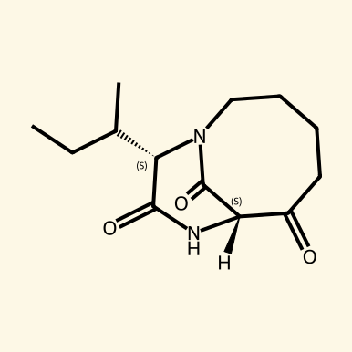 CCC(C)[C@H]1C(=O)N[C@H]2C(=O)CCCCN1C2=O